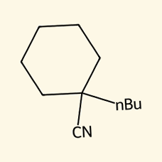 CCCCC1(C#N)CCCCC1